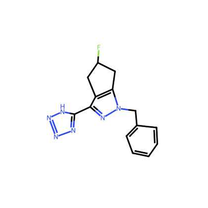 FC1Cc2c(-c3nnn[nH]3)nn(Cc3ccccc3)c2C1